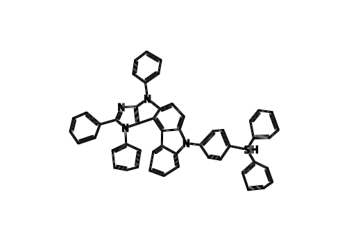 c1ccc(-c2nc3c(c4c5c6ccccc6n(-c6ccc([SiH](c7ccccc7)c7ccccc7)cc6)c5ccc4n3-c3ccccc3)n2-c2ccccc2)cc1